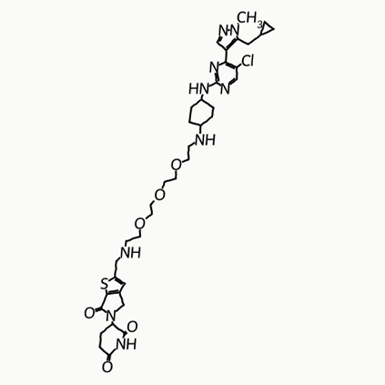 Cn1ncc(-c2nc(NC3CCC(NCCOCCOCCOCCNCc4cc5c(s4)C(=O)N(C4CCC(=O)NC4=O)C5)CC3)ncc2Cl)c1CC1CC1